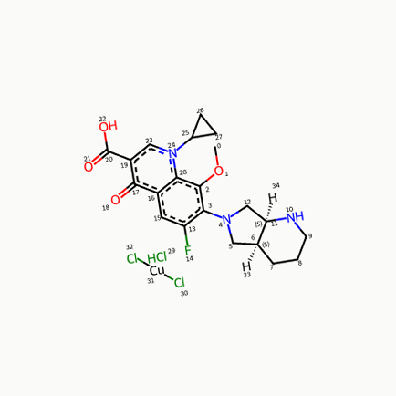 COc1c(N2C[C@@H]3CCCN[C@@H]3C2)c(F)cc2c(=O)c(C(=O)O)cn(C3CC3)c12.Cl.[Cl][Cu][Cl]